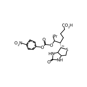 CC(C)C(OC(=O)Oc1ccc([N+](=O)[O-])cc1)C(CCCC(=O)O)[C@@H]1SCC2NC(=O)NC21